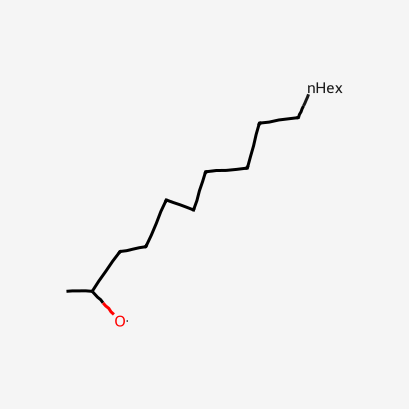 CCCCCCCCCCCCCCC(C)[O]